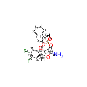 [2H]C([2H])(c1ccccc1)S(=O)(=O)OC1=C(N)O[C@@]([2H])(c2ccc(F)c(F)c2)C1=O